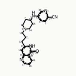 N#Cc1ccc(NC2CCN(CCCc3cc4ncccc4c(=O)[nH]3)CC2)cn1